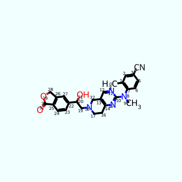 Cc1cc(C#N)ccc1N(C)c1ncc2c(n1)CCN(CC(O)c1ccc3c(c1)COC3=O)C2